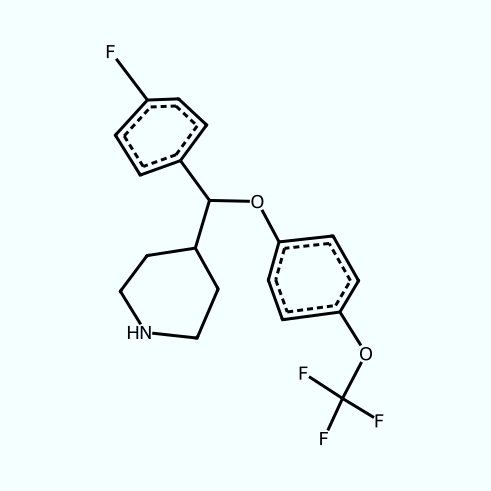 Fc1ccc(C(Oc2ccc(OC(F)(F)F)cc2)C2CCNCC2)cc1